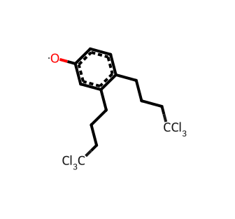 [O]c1ccc(CCCC(Cl)(Cl)Cl)c(CCCC(Cl)(Cl)Cl)c1